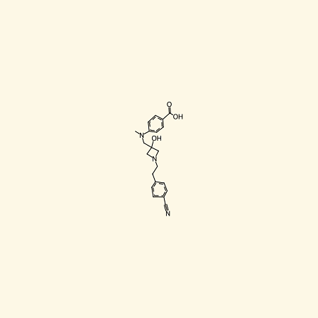 CN(CC1(O)CN(CCc2ccc(C#N)cc2)C1)c1ccc(C(=O)O)cc1